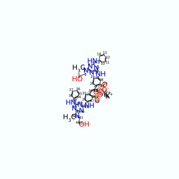 CN(CCO)c1nc(Nc2ccccc2)nc(Nc2ccc(C=Cc3ccc(Nc4nc(Nc5ccccc5)nc(N(C)CCO)n4)cc3S(=O)(=O)[O-])c(S(=O)(=O)[O-])c2)n1.[K+].[K+]